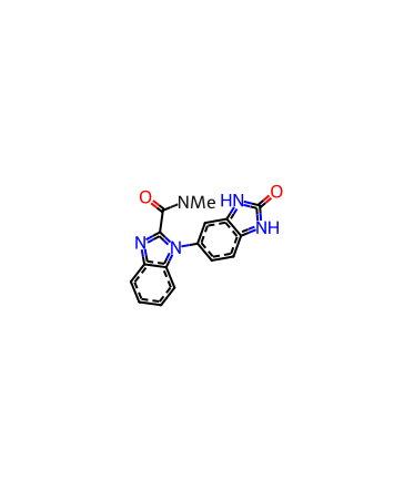 CNC(=O)c1nc2ccccc2n1-c1ccc2[nH]c(=O)[nH]c2c1